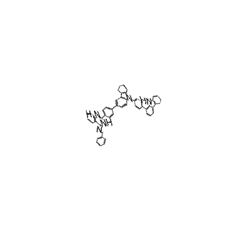 NC(N/C(=N\Cc1ccccc1)c1ccccc1)c1ccc(-c2ccc3c(c2)c2c(n3-c3ccc(-c4cccc5c6c([nH]c45)C=CCC6)cc3)C=CCC2)cc1